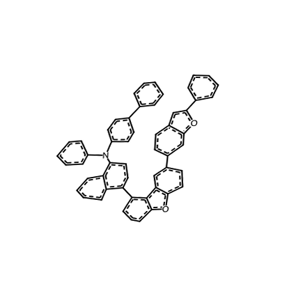 c1ccc(-c2ccc(N(c3ccccc3)c3ccc(-c4cccc5oc6ccc(-c7ccc8cc(-c9ccccc9)oc8c7)cc6c45)c4ccccc34)cc2)cc1